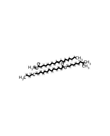 CCCCCCCC/C=C/CCCCCCCC(=O)OC.CCCCCCCCCCCCCCCCCC(=O)OCCCCCCCC(C)C